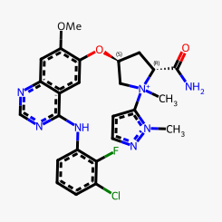 COc1cc2ncnc(Nc3cccc(Cl)c3F)c2cc1O[C@H]1C[C@H](C(N)=O)[N+](C)(c2ccnn2C)C1